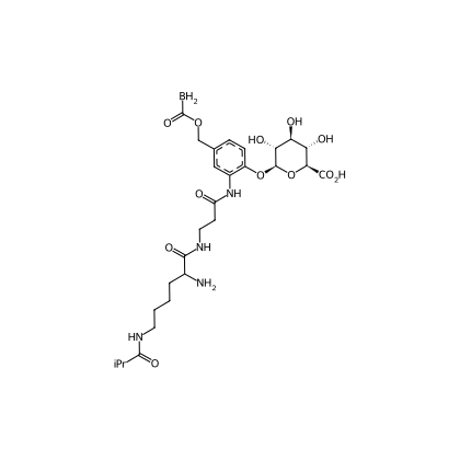 BC(=O)OCc1ccc(O[C@@H]2O[C@H](C(=O)O)[C@@H](O)[C@H](O)[C@H]2O)c(NC(=O)CCNC(=O)C(N)CCCCNC(=O)C(C)C)c1